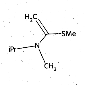 C=C(SC)N(C)C(C)C